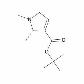 C[C@H]1C(C(=O)OC(C)(C)C)=CCN1C